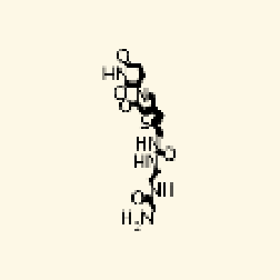 NCC(=O)NCCNC(=O)NCc1cc2c(s1)C(=O)N(C1CCC(=O)NC1=O)C2